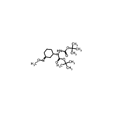 CON=C1CCCC(N(NC(=O)OC(C)(C)C)C(=O)OC(C)(C)C)C1